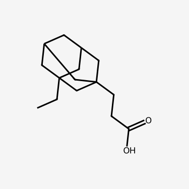 CCC12CC3CC(C1)CC(CCC(=O)O)(C3)C2